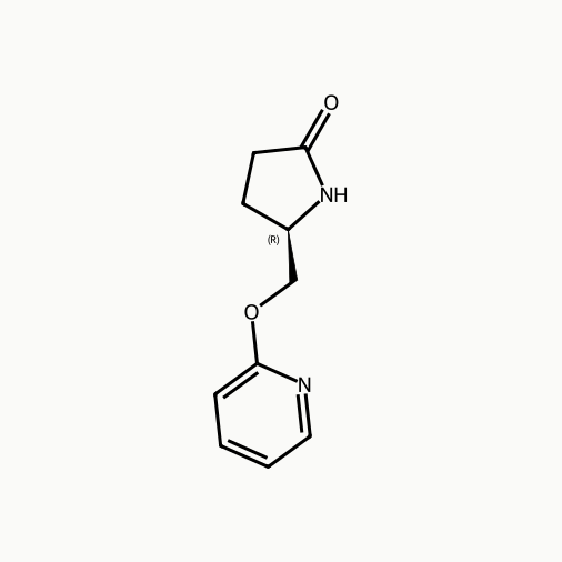 O=C1CC[C@H](COc2ccccn2)N1